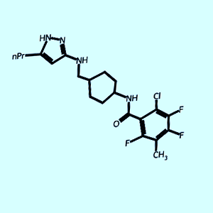 CCCc1cc(NCC2CCC(NC(=O)c3c(F)c(C)c(F)c(F)c3Cl)CC2)n[nH]1